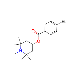 CCc1ccc(C(=O)OC2CC(C)(C)N(C)C(C)(C)C2)cc1